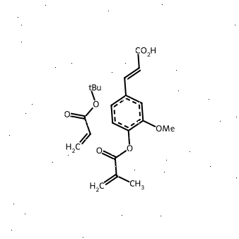 C=C(C)C(=O)Oc1ccc(C=CC(=O)O)cc1OC.C=CC(=O)OC(C)(C)C